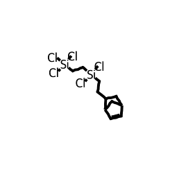 Cl[Si](Cl)(Cl)CC[Si](Cl)(Cl)CCC1CC2C=CC1C2